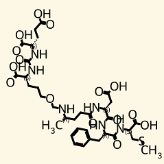 CSC[C@@H](NC(=O)[C@@H](Cc1ccccc1)NC(=O)[C@H](CC(=O)O)NC(=O)CC[C@@H](C)NCOCCC[C@H](NC(=O)N[C@@H](CCC(=O)O)C(=O)O)C(=O)O)C(=O)O